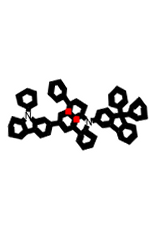 c1ccc(-c2ccc(N(c3ccc4c(c3)-c3ccccc3C4(c3ccccc3)c3ccccc3)c3ccccc3-c3cccc(-c4ccc5c6ccccc6n(-c6ccccc6)c5c4)c3)cc2)cc1